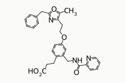 Cc1oc(Cc2ccccc2)nc1CCOc1ccc(CCC(=O)O)c(CNC(=O)c2ccccn2)c1